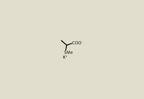 CSC(C)C(=O)[O-].[K+]